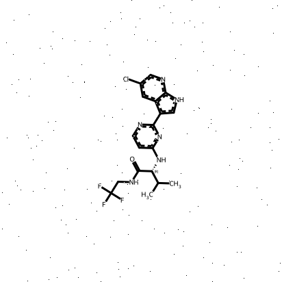 CC(C)[C@@H](Nc1ccnc(-c2c[nH]c3ncc(Cl)cc23)n1)C(=O)NCC(F)(F)F